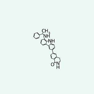 CC(Nc1cccc2c1[nH]c1ccc(-c3ccc4c(c3)CCNC4=O)cc12)c1ccccc1